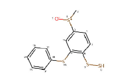 C[S+]([O-])c1ccc(SS)c(Sc2ccccc2)c1